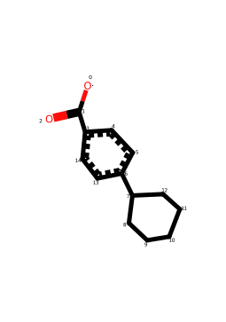 [O]C(=O)c1ccc(C2CCCCC2)cc1